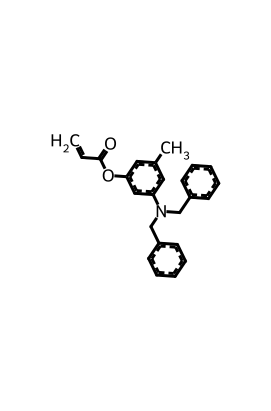 C=CC(=O)Oc1cc(C)cc(N(Cc2ccccc2)Cc2ccccc2)c1